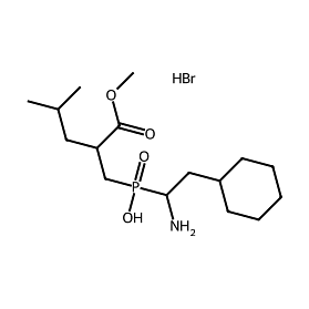 Br.COC(=O)C(CC(C)C)CP(=O)(O)C(N)CC1CCCCC1